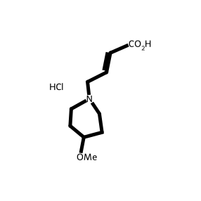 COC1CCN(C/C=C/C(=O)O)CC1.Cl